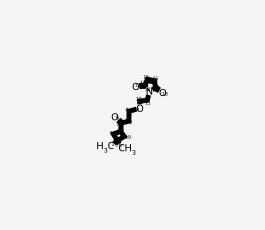 CC1(C)CC(C(=O)CCOCCN2C(=O)C=CC2=O)C1